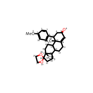 COc1ccc(C2CC(=O)C=C3CCC4C(CCC5(C)C4CCC54OCCO4)C32C)cc1